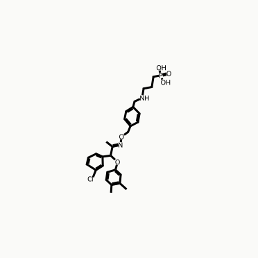 C/C(=N\OCc1ccc(CNCCCP(=O)(O)O)cc1)C(Oc1ccc(C)c(C)c1)c1cccc(Cl)c1